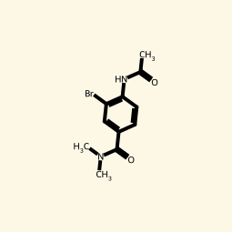 CC(=O)Nc1ccc(C(=O)N(C)C)cc1Br